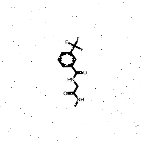 CNC(=O)CNC(=O)c1cccc(C(F)(F)F)c1